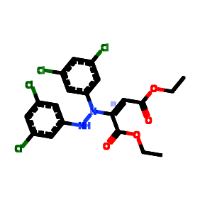 CCOC(=O)/C=C(\C(=O)OCC)N(Nc1cc(Cl)cc(Cl)c1)c1cc(Cl)cc(Cl)c1